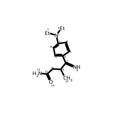 CCN(CC)c1ccc(C(=N)C(C)CC(N)=O)cc1